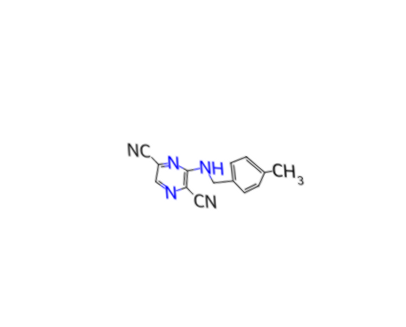 Cc1ccc(CNc2nc(C#N)cnc2C#N)cc1